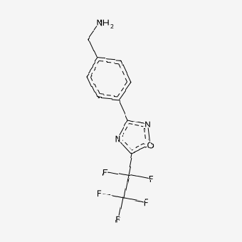 NCc1ccc(-c2noc(C(F)(F)C(F)(F)F)n2)cc1